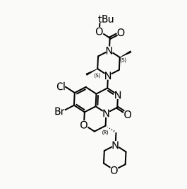 C[C@H]1CN(c2nc(=O)n3c4c(c(Br)c(Cl)cc24)OC[C@H]3CN2CCOCC2)[C@@H](C)CN1C(=O)OC(C)(C)C